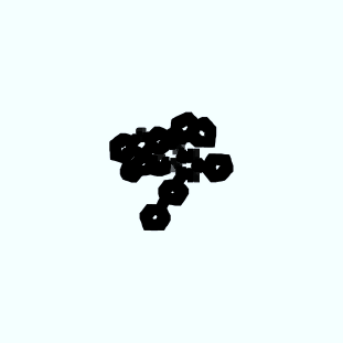 c1ccc(-c2ccc(-c3nc(-c4ccccc4)nc(-n4c5cc6c(cc5c5ccc7ccccc7c54)Sc4ccccc4C64c5ccccc5-c5ccccc54)n3)cc2)cc1